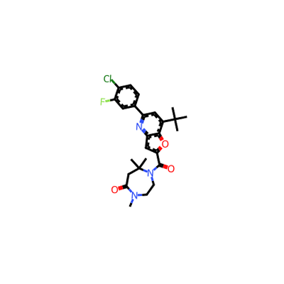 CN1CCN(C(=O)c2cc3nc(-c4ccc(Cl)c(F)c4)cc(C(C)(C)C)c3o2)C(C)(C)CC1=O